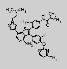 C=C(C)C(=O)Nc1ccc(-c2sc3c(-c4cnn(CCN(C)C)c4)cnc(N)c3c2-c2ccc(Oc3nccc(C)n3)c(F)c2)c(C)c1